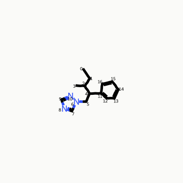 CCC(C)C(Cn1cncn1)c1ccccc1